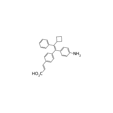 Nc1ccc(/C(=C(/c2ccccc2)C2CCC2)c2ccc(/C=C/C(=O)O)cc2)cc1